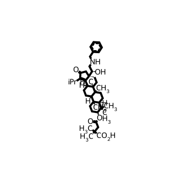 CC(C)C1=C2[C@H]3CC[C@@H]4[C@@]5(C)CC[C@H](OC(=O)CC(C)(C)C(=O)O)C(C)(C)[C@@H]5CC[C@@]4(C)[C@]3(C)CC[C@@]2([C@@H](O)CNCc2ccccc2)CC1=O